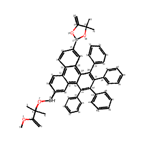 C=C(OC)C(C)(C)OBc1ccc2c3ccc(B4OC(=C)C(C)(C)O4)cc3c3c(-c4ccccc4)c(-c4ccccc4)c(-c4ccccc4)c(-c4ccccc4)c3c2c1